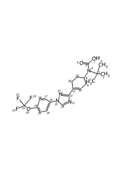 CC(C)(C)N(C(=O)O)C1CC=C(c2ncn(-c3ccc(OC(F)(F)F)cc3)n2)CC1